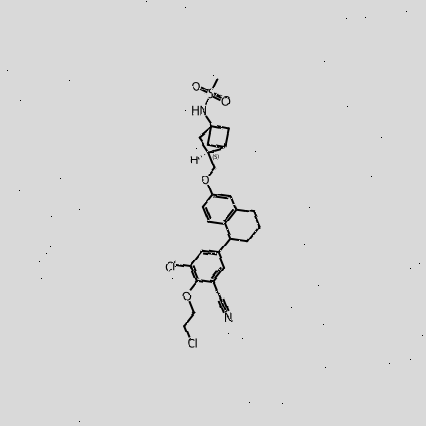 CS(=O)(=O)NC12CC(C1)[C@@H](COc1ccc3c(c1)CCCC3c1cc(Cl)c(OCCCl)c(C#N)c1)C2